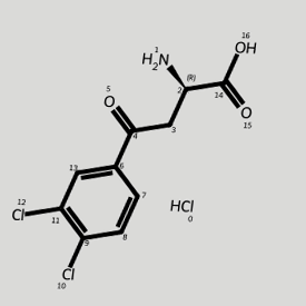 Cl.N[C@H](CC(=O)c1ccc(Cl)c(Cl)c1)C(=O)O